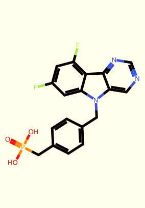 O=P(O)(O)Cc1ccc(Cn2c3cncnc3c3c(F)cc(F)cc32)cc1